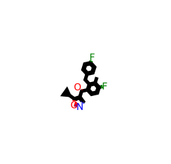 Cc1c(F)ccc(C(=O)c2cnoc2C2CC2)c1Cc1ccc(F)cc1